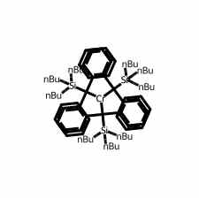 CCCC[Si](CCCC)(CCCC)[C](c1ccccc1)(c1ccccc1)[Cr]([C](c1ccccc1)(c1ccccc1)[Si](CCCC)(CCCC)CCCC)[C](c1ccccc1)(c1ccccc1)[Si](CCCC)(CCCC)CCCC